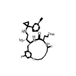 C#Cc1cccc(C2(NC[C@@H](O)[C@@H]3Cc4cc(F)cc(c4)OCCCCC(=O)NC(CCSC)C(=O)N3)CC2)c1